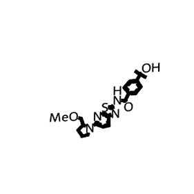 COCC1CCCN1c1ccc2nc(NC(=O)c3ccc(C(C)(C)O)cc3)sc2n1